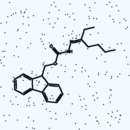 CCCCC(CC)=NNC(=O)OCC1c2ccccc2-c2ccccc21